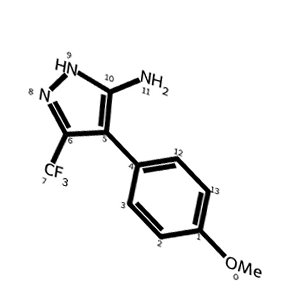 COc1ccc(-c2c(C(F)(F)F)n[nH]c2N)cc1